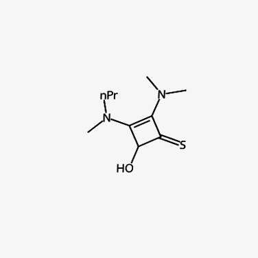 CCCN(C)C1=C(N(C)C)C(=S)C1O